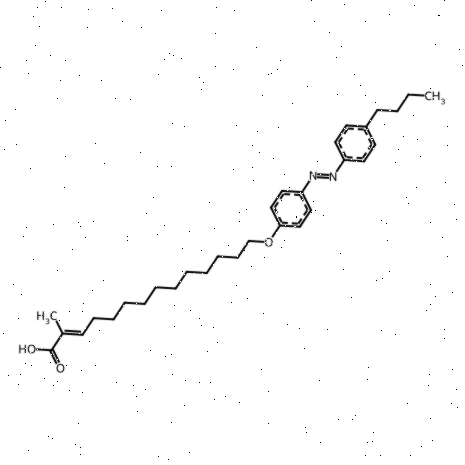 CCCCc1ccc(/N=N/c2ccc(OCCCCCCCCCCC/C=C(\C)C(=O)O)cc2)cc1